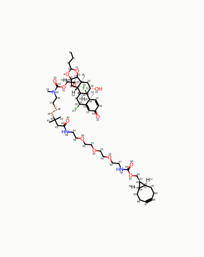 CCCC1O[C@@H]2C[C@H]3[C@@H]4C[C@H](F)C5=CC(=O)C=C[C@]5(C)[C@@]4(F)[C@@H](O)C[C@]3(C)[C@]2(C(=O)COC(=O)N(C)CCSSC(C)(C)CC(=O)NCCOCCOCCOCCNC(=O)OC[C@@H]2[C@@H]3CCC#CCC[C@@H]32)O1